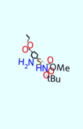 C=CCOC(=O)c1ccc(SC[C@@H](NC(=O)OC(C)(C)C)C(=O)OC)c(N)c1